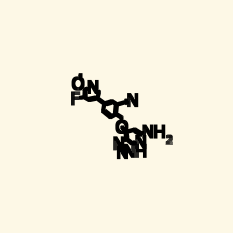 COc1ncc(-c2ccc(COc3cc(N)nc4[nH]nnc34)c(C#N)c2)cc1F